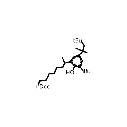 CCCCCCCCCCCCCCCCC(C)c1cc(C(C)(C)CC(C)(C)C)cc(C(C)CC)c1O